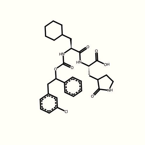 O=C(N[C@@H](CC1CCCCC1)C(=O)N[C@@H](CC1CCNC1=O)C(=O)O)OC(Cc1cccc(Cl)c1)c1ccccc1